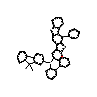 CC1(C)c2ccccc2-c2ccc(N(c3ccc4oc5c(-c6ccccc6)c6c(cc5c4c3)oc3ccccc36)c3ccccc3-c3ccccc3)cc21